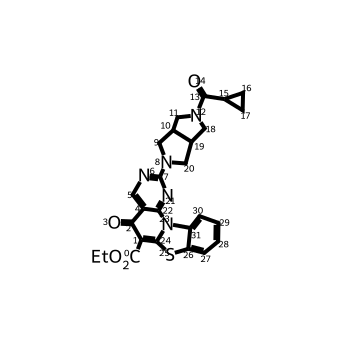 CCOC(=O)c1c(=O)c2cnc(N3CC4CN(C(=O)C5CC5)CC4C3)nc2n2c1sc1ccccc12